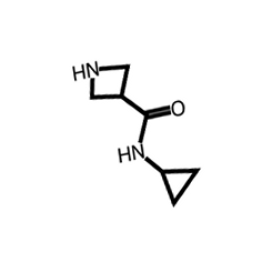 O=C(NC1CC1)C1CNC1